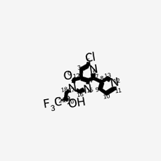 O=c1c2cc(Cl)nc(-c3cccnc3)c2ncn1C[C@@H](O)C(F)(F)F